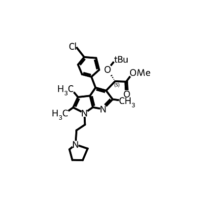 COC(=O)[C@@H](OC(C)(C)C)c1c(C)nc2c(c(C)c(C)n2CCN2CCCC2)c1-c1ccc(Cl)cc1